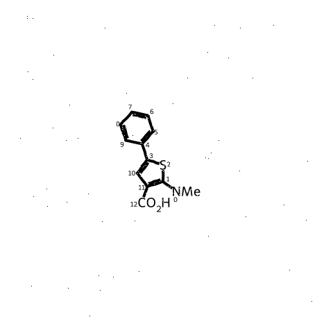 CNc1sc(-c2ccccc2)cc1C(=O)O